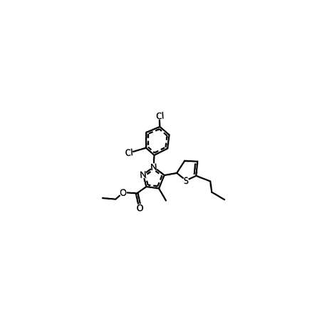 CCCC1=CCC(c2c(C)c(C(=O)OCC)nn2-c2ccc(Cl)cc2Cl)S1